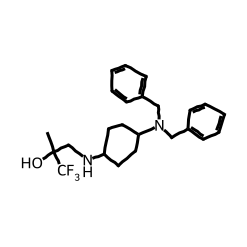 CC(O)(CNC1CCC(N(Cc2ccccc2)Cc2ccccc2)CC1)C(F)(F)F